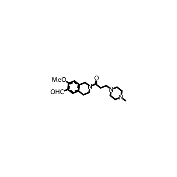 COc1cc2c(cc1C=O)CCN(C(=O)CCN1CCN(C)CC1)C2